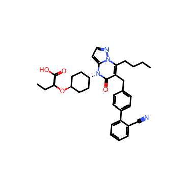 CCCCc1c(Cc2ccc(-c3ccccc3C#N)cc2)c(=O)n([C@H]2CC[C@H](OC(CC)C(=O)O)CC2)c2ccnn12